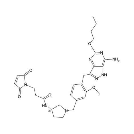 CCCCOc1nc(N)c2[nH]nc(Cc3ccc(CN4CC[C@H](NC(=O)CCN5C(=O)C=CC5=O)C4)cc3OC)c2n1